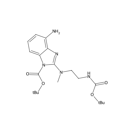 CN(CCNC(=O)OC(C)(C)C)c1nc2c(N)cccc2n1C(=O)OC(C)(C)C